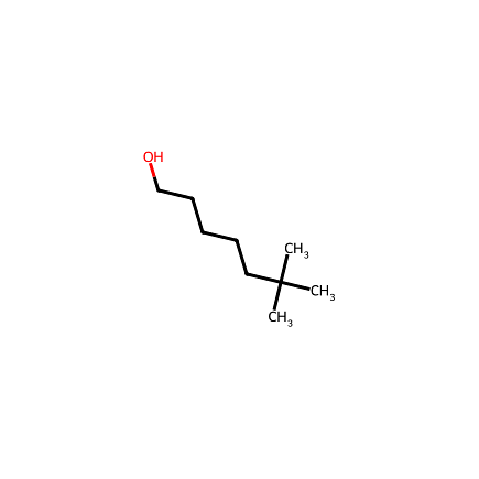 CC(C)(C)CCCCCO